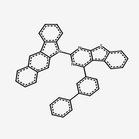 c1ccc(-c2cccc(-c3nc(-n4c5ccccc5c5cc6ccccc6cc54)nc4sc5ccccc5c34)c2)cc1